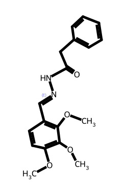 COc1ccc(/C=N/NC(=O)Cc2ccccc2)c(OC)c1OC